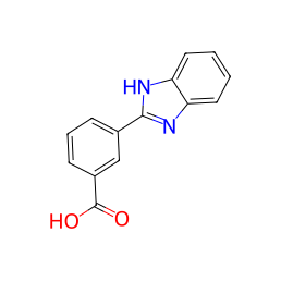 O=C(O)c1cccc(-c2nc3ccccc3[nH]2)c1